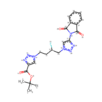 CCC(C)(C)OC(=O)c1cn(CCC(F)Cn2cc(N3C(=O)c4ccccc4C3=O)nn2)nn1